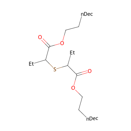 CCCCCCCCCCCCOC(=O)C(CC)SC(CC)C(=O)OCCCCCCCCCCCC